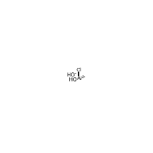 [Al+2][Cl].[OH-].[OH-]